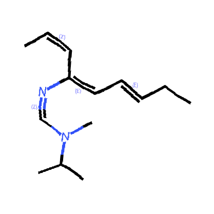 C\C=C/C(=C\C=C\CC)/N=C\N(C)C(C)C